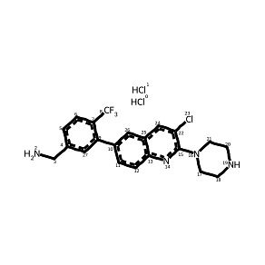 Cl.Cl.NCc1ccc(C(F)(F)F)c(-c2ccc3nc(N4CCNCC4)c(Cl)cc3c2)c1